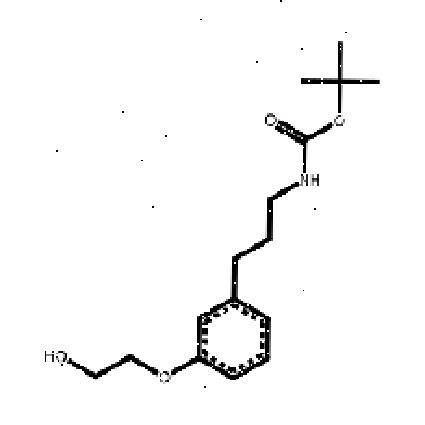 CC(C)(C)OC(=O)NCCCc1cccc(OCCO)c1